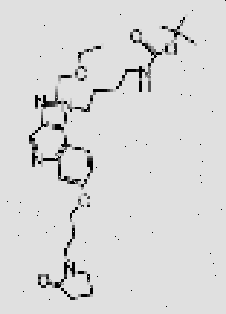 CCOCc1nc2cnc3cc(OCCCN4CCCC4=O)ccc3c2n1CCCCNC(=O)OC(C)(C)C